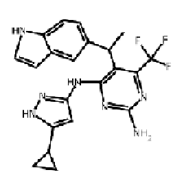 CC(c1ccc2[nH]ccc2c1)c1c(Nc2cc(C3CC3)[nH]n2)nc(N)nc1C(F)(F)F